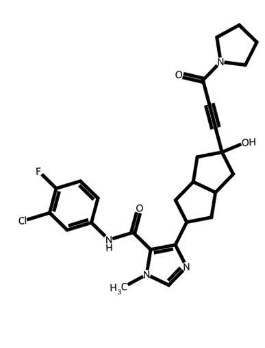 Cn1cnc(C2CC3CC(O)(C#CC(=O)N4CCCC4)CC3C2)c1C(=O)Nc1ccc(F)c(Cl)c1